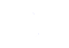 CC=NOCC1CCN(CC)C1